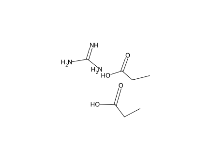 CCC(=O)O.CCC(=O)O.N=C(N)N